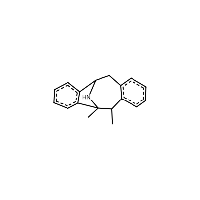 CC1c2ccccc2CC2NC1(C)c1ccccc12